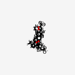 C=C(C)[C@@H]1CC[C@]2(CC(Br)(CCC(=O)[O-])C3CN4CC[N+]3(Br)CC4)CC[C@]3(C)[C@H](CC[C@@H]4[C@@]5(C)CCC(C(Br)(CCC(=O)[O-])C6CN7CC[N+]6(Br)CC7)C(C)(C)[C@@H]5CC[C@]43C)[C@@H]12